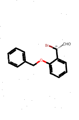 O=C[C@@H](Br)c1ccccc1OCc1ccccc1